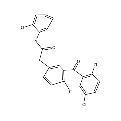 O=C(Cc1ccc(Cl)c(C(=O)c2cc(Cl)ccc2Cl)c1)Nc1ccccc1Cl